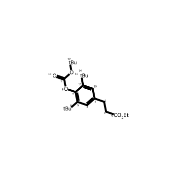 CCOC(=O)CCc1cc(C(C)(C)C)c(OC(=O)OC(C)(C)C)c(C(C)(C)C)c1